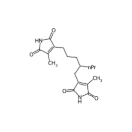 CCCC(CCCC1=C(C)C(=O)NC1=O)CC1=C(C)C(=O)NC1=O